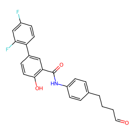 O=CCCCc1ccc(NC(=O)c2cc(-c3ccc(F)cc3F)ccc2O)cc1